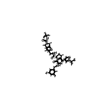 Cc1cc(F)cc(CNc2nc(-c3cnn(C(F)F)c3)c3n(c2=O)[C@H](C(=O)NCc2cc4c(s2)CN(C(=O)OC(C)(C)C)C4)CC3)c1